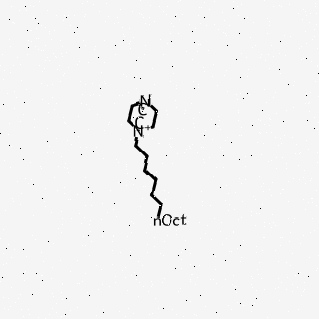 CCCCCCCCCCCCCC[N+]12CCN(CC1)CC2